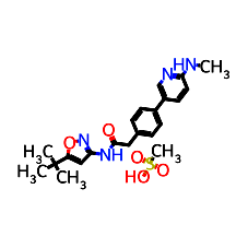 CNc1ccc(-c2ccc(CC(=O)Nc3cc(C(C)(C)C)on3)cc2)cn1.CS(=O)(=O)O